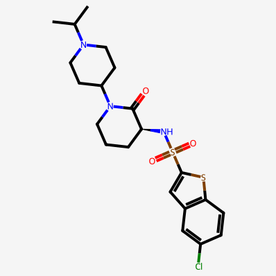 CC(C)N1CCC(N2CCC[C@H](NS(=O)(=O)c3cc4cc(Cl)ccc4s3)C2=O)CC1